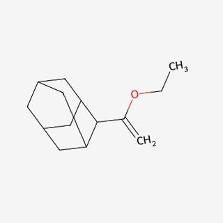 C=C(OCC)C1C2CC3CC(C2)CC1C3